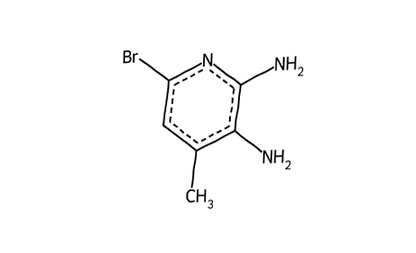 Cc1cc(Br)nc(N)c1N